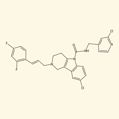 O=C(NCc1ccnc(Cl)c1)n1c2c(c3cc(Cl)ccc31)CN(C/C=C/c1ccc(F)cc1F)CC2